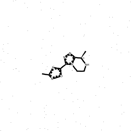 Cc1noc(-c2nnc3n2CCN[C@@H]3C)n1